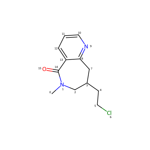 CN1CC(CCCl)Cc2ncccc2C1=O